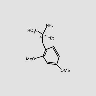 CC[C@](N)(Cc1ccc(OC)cc1OC)C(=O)O